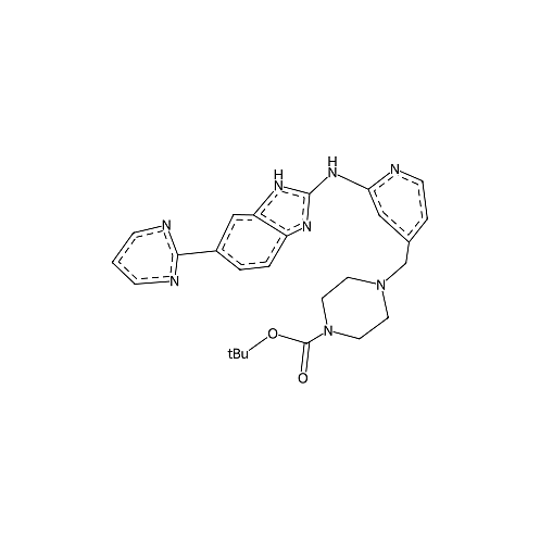 CC(C)(C)OC(=O)N1CCN(Cc2ccnc(Nc3nc4ccc(-c5ncccn5)cc4[nH]3)c2)CC1